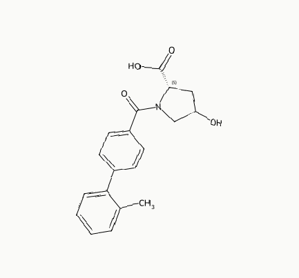 Cc1ccccc1-c1ccc(C(=O)N2CC(O)C[C@H]2C(=O)O)cc1